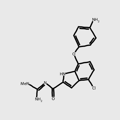 CNC(N)=NC(=O)c1cc2c(Cl)ccc(Oc3ccc(N)cc3)c2[nH]1